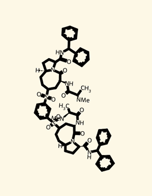 CN[C@@H](C)C(=O)N[C@H]1CC(S(=O)(=O)c2cccc(S(=O)(=O)C3CC[C@H]4CC[C@@H](C(=O)NC(c5ccccc5)c5ccccc5)N4C(=O)[C@@H](NC(=O)[C@H](C)NC)C3)c2)CC[C@H]2CCC(C(=O)NC(c3ccccc3)c3ccccc3)N2C1=O